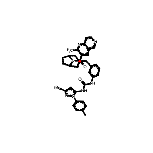 Cc1ccc(-n2nc(C(C)(C)C)cc2NC(=O)Nc2cccc(CC3CC4CCC(C3)N4C(=O)c3cc4cnccc4nc3C(F)(F)F)c2)cc1